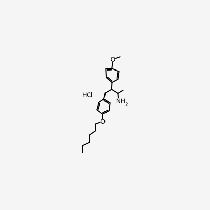 CCCCCCOc1ccc(CC(c2ccc(OC)cc2)C(C)N)cc1.Cl